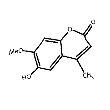 COc1cc2oc(=O)cc(C)c2cc1O